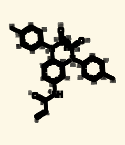 C=CC(=O)Nc1ccc(N(c2ccc(C)cc2)[SH](=O)=O)c(N(c2ccc(C)cc2)[SH](=O)=O)c1